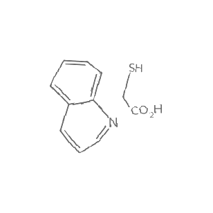 O=C(O)CS.c1ccc2ncccc2c1